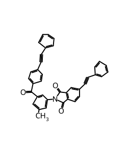 Cc1cc(C(=O)c2ccc(C#Cc3ccccc3)cc2)cc(N2C(=O)c3ccc(C#Cc4ccccc4)cc3C2=O)c1